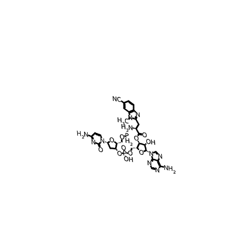 Cn1c(C[C@H](N)C(=O)O[C@H]2[C@@H](O)[C@H](n3cnc4c(N)ncnc43)O[C@@H]2COP(=O)(O)O[C@H]2C[C@H](n3ccc(N)nc3=O)O[C@@H]2COP)nc2ccc(C#N)cc21